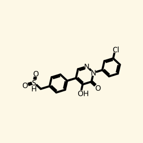 O=c1c(O)c(-c2ccc(C[SH](=O)=O)cc2)cnn1-c1cccc(Cl)c1